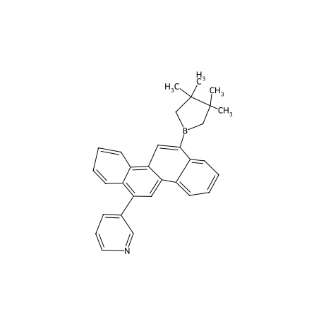 CC1(C)CB(c2cc3c4ccccc4c(-c4cccnc4)cc3c3ccccc23)CC1(C)C